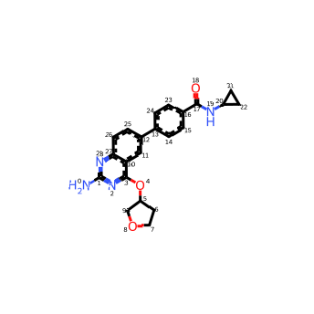 Nc1nc(OC2CCOC2)c2cc(-c3ccc(C(=O)NC4CC4)cc3)ccc2n1